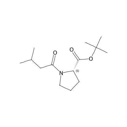 CC(C)CC(=O)N1CCC[C@H]1C(=O)OC(C)(C)C